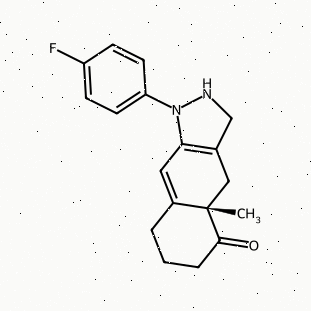 C[C@]12CC3=C(C=C1CCCC2=O)N(c1ccc(F)cc1)NC3